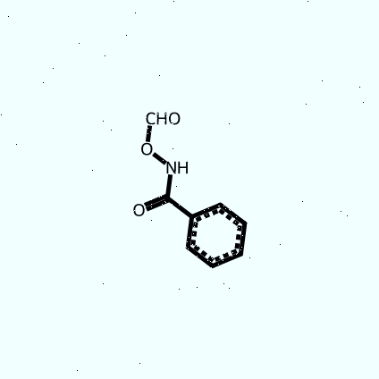 O=CONC(=O)c1ccccc1